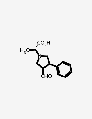 C[C@H](C(=O)O)N1CC(C=O)C(c2ccccc2)C1